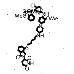 COc1cc(N2CCC(NCCCCCSc3cccc4c3CN(C3CCC(=O)NC3=O)C4=O)CC2)ccc1Nc1ncc(Cl)c(Nc2ccccc2P(=O)(OC)OC)n1